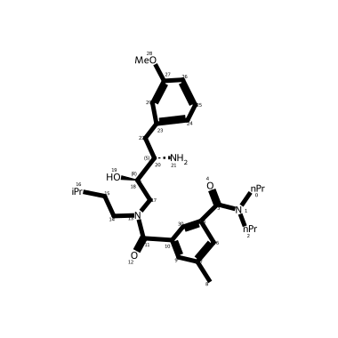 CCCN(CCC)C(=O)c1cc(C)cc(C(=O)N(CCC(C)C)C[C@@H](O)[C@@H](N)Cc2cccc(OC)c2)c1